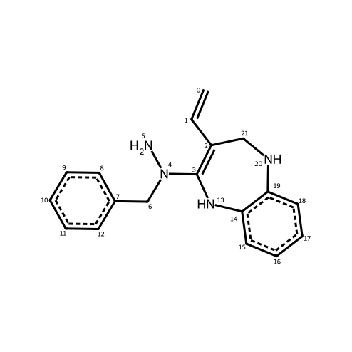 C=CC1=C(N(N)Cc2ccccc2)Nc2ccccc2NC1